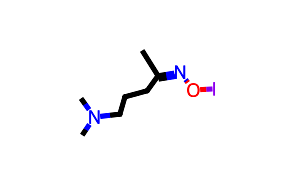 C/C(CCCN(C)C)=N/OI